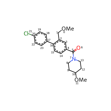 COCc1cc(C(=O)N2CCC(OC)CC2)ccc1-c1ccc(Cl)cc1